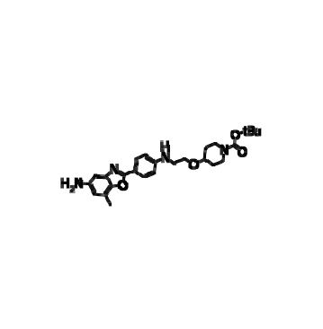 Cc1cc(N)cc2nc(-c3ccc(NCCOC4CCN(C(=O)OC(C)(C)C)CC4)cc3)oc12